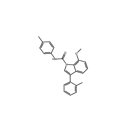 COc1cccc2c(-c3ccccc3C)cn(C(=O)Nc3ccc(C)cc3)c12